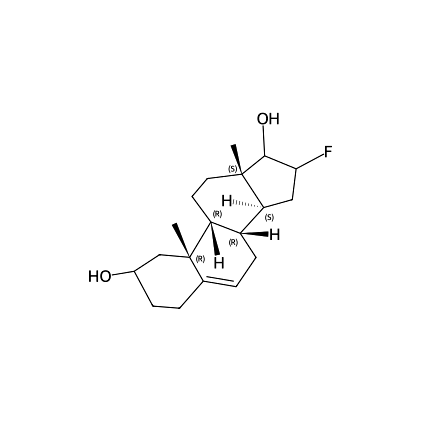 C[C@]12CC(O)CCC1=CC[C@@H]1[C@H]2CC[C@]2(C)C(O)C(F)C[C@@H]12